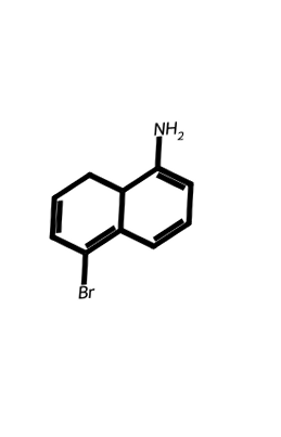 NC1=CC=CC2=C(Br)C=CCC12